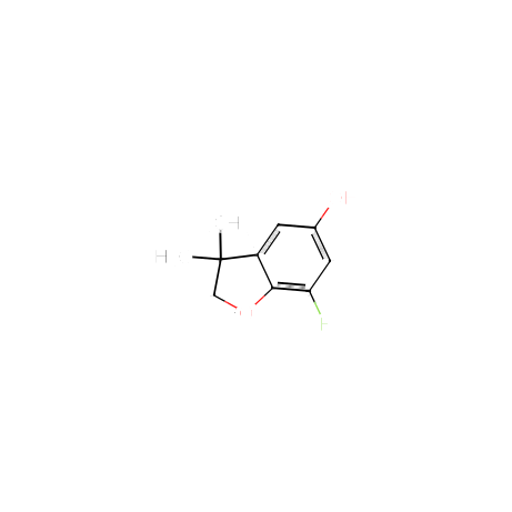 CC1(C)COc2c(F)cc(O)cc21